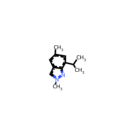 Cc1cc(C(C)C)c2nn(C)cc2c1